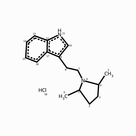 CC1CCC(C)N1CCc1c[nH]c2ccccc12.Cl